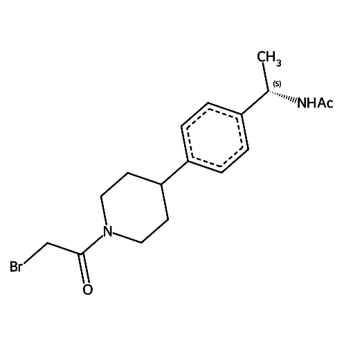 CC(=O)N[C@@H](C)c1ccc(C2CCN(C(=O)CBr)CC2)cc1